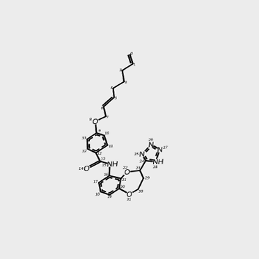 C=CCCC/C=C/COc1ccc(C(=O)Nc2cccc3c2OC(c2nnn[nH]2)CCO3)cc1